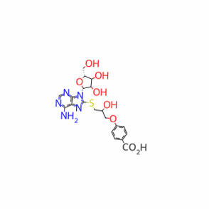 Nc1ncnc2c1nc(SCC(O)COc1ccc(C(=O)O)cc1)n2[C@@H]1O[C@H](CO)[C@@H](O)[C@H]1O